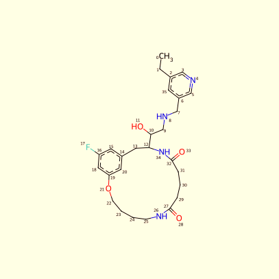 CCc1cncc(CNCC(O)C2Cc3cc(F)cc(c3)OCCCCNC(=O)CCCC(=O)N2)c1